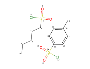 CCCCCS(=O)(=O)Cl.Cc1ccc(S(=O)(=O)Cl)cc1